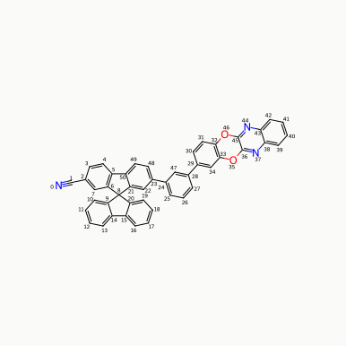 N#Cc1ccc2c(c1)C1(c3ccccc3-c3ccccc31)c1cc(-c3cccc(-c4ccc5c(c4)Oc4nc6ccccc6nc4O5)c3)ccc1-2